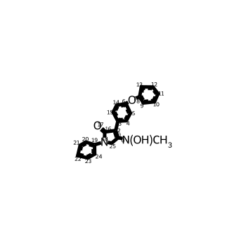 CN(O)C1=C(c2ccc(Oc3ccccc3)cc2)C(=O)N(c2ccccc2)C1